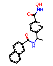 CC(NC(=O)c1ccc2ccccc2c1)c1ccc(C(=O)NO)cc1